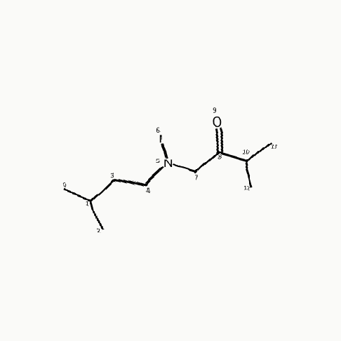 CC(C)CCN(I)CC(=O)C(C)C